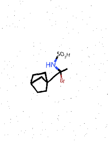 CC(Br)(NS(=O)(=O)O)C12CCC(CC1)C2